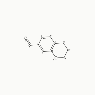 O=[C]c1ccc2c(c1)OCCC2